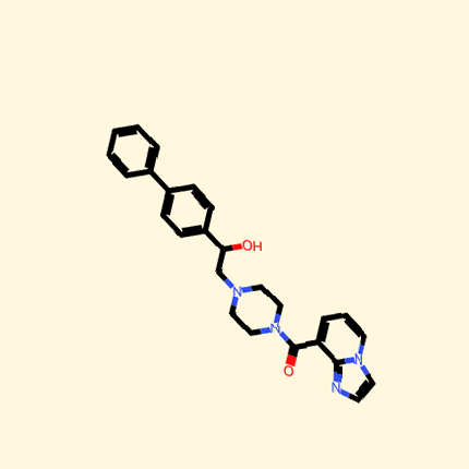 O=C(c1cccn2ccnc12)N1CCN(CC(O)c2ccc(-c3ccccc3)cc2)CC1